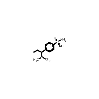 CN(C)C(CF)c1ccc(S(=N)(N)=O)cc1